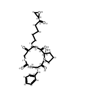 O=C1CCC(=O)[C@H](CCCCCC(=O)[C@@H]2CO2)NC(=O)[C@H]2CCCN2C(=O)[C@H](Cc2ccccc2)N1